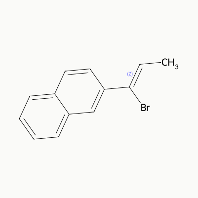 C/C=C(\Br)c1ccc2ccccc2c1